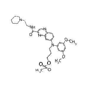 COc1cc(OC)cc(N(CCCOS(C)(=O)=O)c2ccc3ncc(C(=O)NCCN4CCCCC4)nc3c2)c1